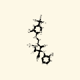 CNC(=O)C(C#N)(Oc1ccccc1Cl)C(=O)CCOc1ncc(C(F)(F)F)cc1Cl